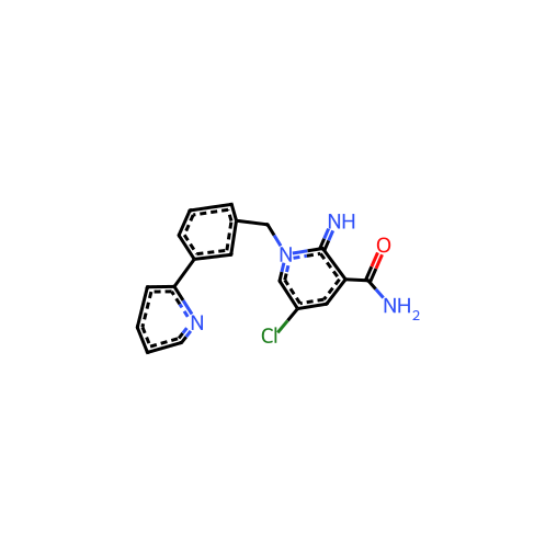 N=c1c(C(N)=O)cc(Cl)cn1Cc1cccc(-c2ccccn2)c1